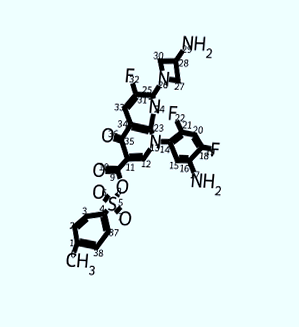 Cc1ccc(S(=O)(=O)OC(=O)c2cn(-c3cc(N)c(F)cc3F)c3nc(N4CC(N)C4)c(F)cc3c2=O)cc1